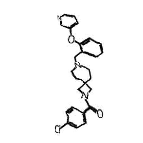 O=C(c1ccc(Cl)cc1)N1CC2(CCN(Cc3ccccc3Oc3cccnc3)CC2)C1